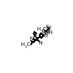 CCc1cnc2c(c1)c(C#N)c(-c1ccc(S(=O)(=O)N[C@@H](C)C(F)(F)F)cc1)n2C1CCC1